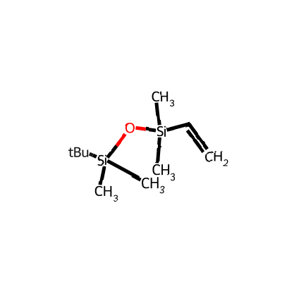 C=C[Si](C)(C)O[Si](C)(C)C(C)(C)C